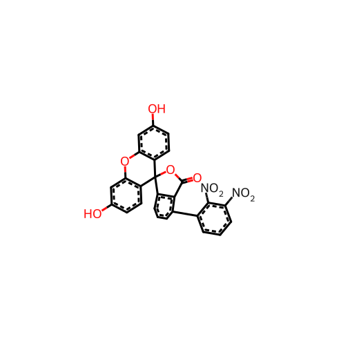 O=C1OC2(c3ccc(O)cc3Oc3cc(O)ccc32)c2cccc(-c3cccc([N+](=O)[O-])c3[N+](=O)[O-])c21